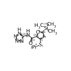 CC(C)Sc1cc([Si](C)(C)C)oc1C(=O)Nc1nnn[nH]1